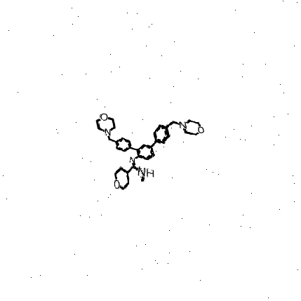 CN/C(=N\c1ccc(-c2ccc(CN3CCOCC3)cc2)cc1-c1ccc(CN2CCOCC2)cc1)C1CCOCC1